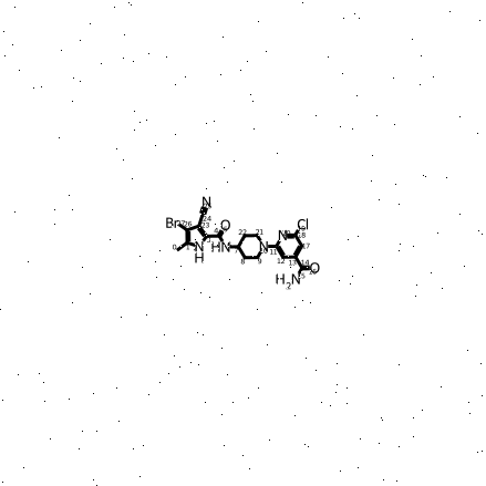 Cc1[nH]c(C(=O)NC2CCN(c3cc(C(N)=O)cc(Cl)n3)CC2)c(C#N)c1Br